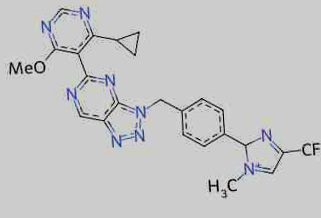 COc1ncnc(C2CC2)c1-c1ncc2nnn(Cc3ccc(C4N=C(C(F)(F)F)C=[N+]4C)cc3)c2n1